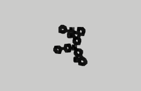 c1ccc(-c2ccc(N(c3ccc4c(c3)oc3ccccc34)c3ccc4c5ccccc5c5nc(-c6ccccc6)oc5c4c3)cc2)cc1